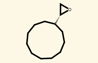 C1CCCCCC([C@@H]2CO2)CCCC1